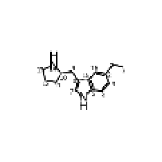 CCc1ccc2[nH]cc(C[C@H]3CCCN3)c2c1